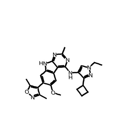 CCn1cc(Nc2nc(C)nc3[nH]c4cc(-c5c(C)noc5C)c(OC)cc4c23)c(C2CCC2)n1